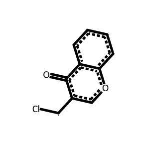 O=c1c([CH]Cl)coc2ccccc12